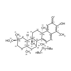 CC1=C(O)C(=O)C=C2C1=CC=C1[C@@]2(C)CC[C@@]2(C)[C@@H]3C[C@](C)(C(=O)O)CC[C@]3(C)CC[C@]12C.CCCCOCCCC